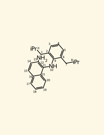 CC(C)Cc1cccc(CC(C)C)c1Nc1c(N)ccc2ccccc12